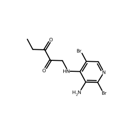 CCC(=O)C(=O)CNc1c(Br)cnc(Br)c1N